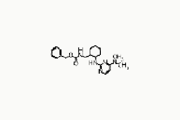 CN(C)c1ccnc(NC2CCCCC2CNC(=O)OCc2ccccc2)n1